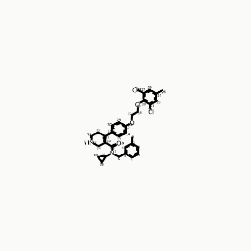 Cc1cccc(CN(C(=O)C2=C(c3ccc(OCCOc4c(Cl)cc(C)cc4Cl)cc3)CCNC2)C2CC2)c1